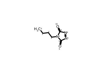 CCCCN1C(=O)N=NC1=O